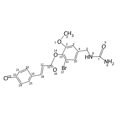 COc1cc(CNC(N)=O)cc(Br)c1OC(=O)/C=C/c1ccc(Cl)cc1